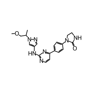 COCC(C)n1cc(Nc2nccc(-c3ccc(N4CCNC4=O)cc3)n2)cn1